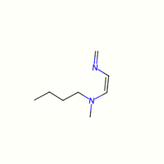 C=N/C=C\N(C)CCCC